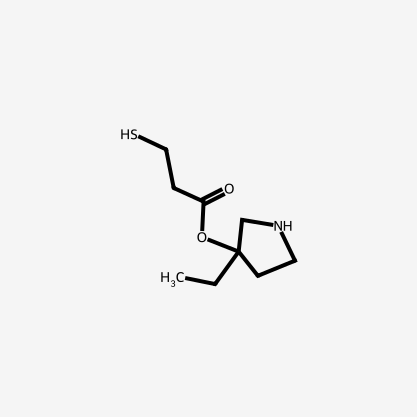 CCC1(OC(=O)CCS)CCNC1